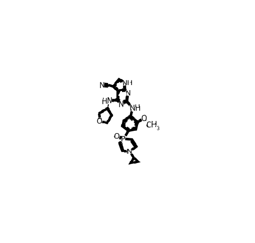 COc1cc(P2(=O)C=CN(C3CC3)C=C2)ccc1Nc1nc(N[C@@H]2CCOC2)c2c(C#N)c[nH]c2n1